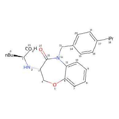 CCCC[C@H](N[C@H]1COc2ccccc2N(Cc2ccc(C(C)C)cc2)C1=O)C(=O)O